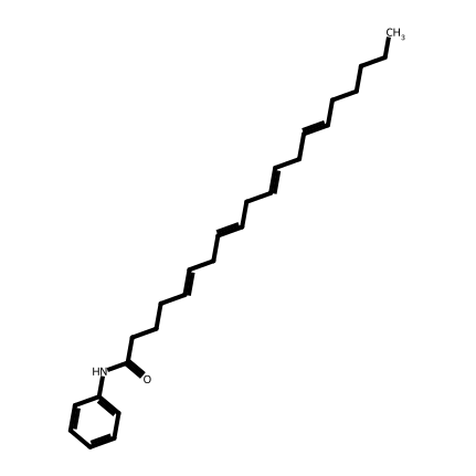 CCCCCC=CCC=CCC=CCC=CCCCC(=O)Nc1ccccc1